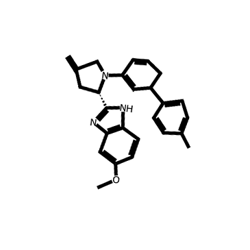 C=C1C[C@@H](c2nc3cc(OC)ccc3[nH]2)N(C2=[C]C(c3ccc(C)cc3)CC=C2)C1